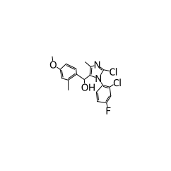 COc1ccc(C(O)c2c(C)nc(Cl)n2-c2ccc(F)cc2Cl)c(C)c1